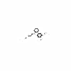 CCOC(=O)CC(=O)N[C@@H]1CCCC[C@@H]1c1ccc(OC)c(OC)c1